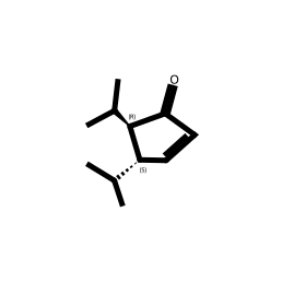 CC(C)[C@H]1C=CC(=O)[C@@H]1C(C)C